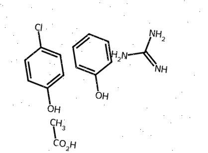 CC(=O)O.N=C(N)N.Oc1ccc(Cl)cc1.Oc1ccccc1